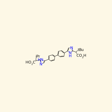 CC(C)C(C(=O)O)c1ncc(-c2ccc(-c3ccc(-c4cnc(C(C(=O)O)C(C)(C)C)[nH]4)cc3)cc2)[nH]1